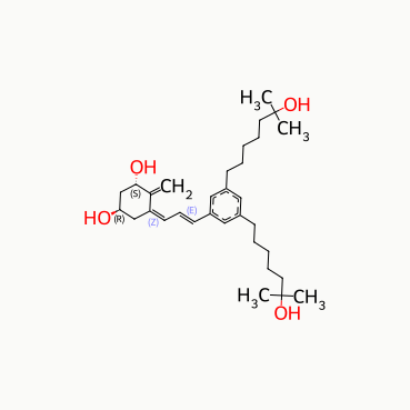 C=C1/C(=C\C=C\c2cc(CCCCCC(C)(C)O)cc(CCCCCC(C)(C)O)c2)C[C@@H](O)C[C@@H]1O